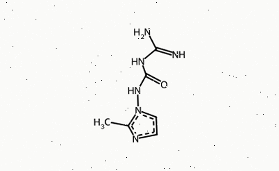 Cc1nccn1NC(=O)NC(=N)N